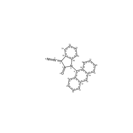 [N-]=[N+]=C1C(=O)N(c2c3ccccc3cc3ccccc23)c2ccccc21